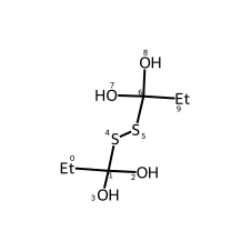 CCC(O)(O)SSC(O)(O)CC